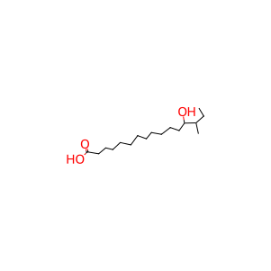 CCC(C)C(O)CCCCCCCCCCCC(=O)O